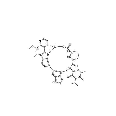 CCn1c(-c2cccnc2[C@H](C)OC)c2c3cc(ccc31)-c1cc(c3cn[nH]c3c1)C[C@H](NC(=O)C(C(C)C)N(C)C(C)=O)C(=O)N1CCC[C@H](N1)C(=O)OCC(C)(C)C2